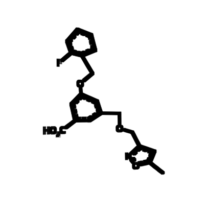 Cc1cc(COCc2cc(OCc3ccccc3F)cc(C(=O)O)c2)no1